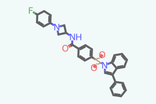 O=C(NC1CN(C2=CCC(F)C=C2)C1)c1ccc(S(=O)(=O)n2cc(-c3ccccc3)c3ccccc32)cc1